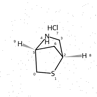 C1S[C@@H]2CN[C@H]1C2.Cl